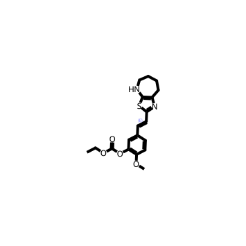 CCOC(=O)Oc1cc(/C=C/c2nc3c(s2)NCCCC3)ccc1OC